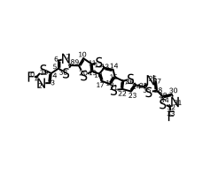 Fc1ncc(-c2cnc(-c3cc4sc5cc6c(cc5c4s3)sc3cc(-c4ncc(-c5cnc(F)s5)s4)sc36)s2)s1